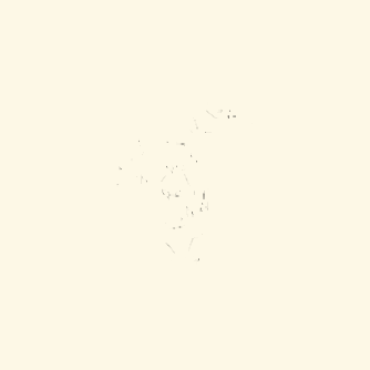 O=C(Nc1nc(N2CCC[C@H]2CO)nc2c1cnn2-c1cccc(Cl)c1)c1ccc([N+](=O)[O-])s1